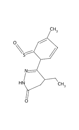 CCC1CC(=O)NN=C1C1C=CC(C)=CC1=S=O